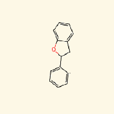 [c]1ccccc1C1Cc2ccccc2O1